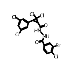 O=C(NNC(=O)C1C(c2cc(Cl)cc(Cl)c2)C1(Cl)Cl)c1ccc(Cl)c(Br)c1